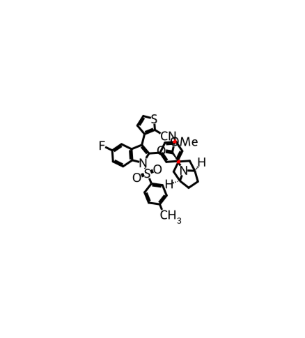 COC(=O)[C@H]1C[C@H]2CC[C@@H](C1)N2c1cccc(-c2c(-c3ccsc3C#N)c3cc(F)ccc3n2S(=O)(=O)c2ccc(C)cc2)c1